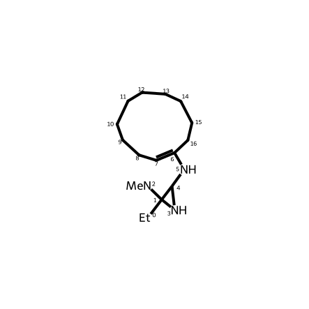 CCC1(NC)NC1N/C1=C/CCCCCCCCC1